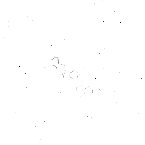 C=CC(=O)NC1CCOCC1Nc1ncc2c(ccn2Cc2c(F)c(OC)cc(OC)c2F)n1